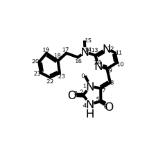 CN1C(=O)NC(=O)C1=Cc1ccnc(N(C)CCc2ccccc2)n1